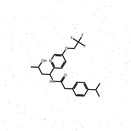 CC(O)CC(NC(=O)Cc1ccc(C(C)C)cc1)c1ccc(OCC(F)(F)F)cn1